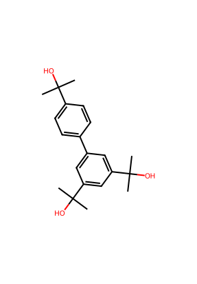 CC(C)(O)c1ccc(-c2cc(C(C)(C)O)cc(C(C)(C)O)c2)cc1